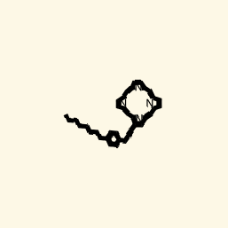 CCCCCCCCc1ccc(CC#CC2=CC3=CC4=NC(=CC5=NC(=CC6=NC(=CC2=N3)C=C6)C=C5)C=C4)cc1